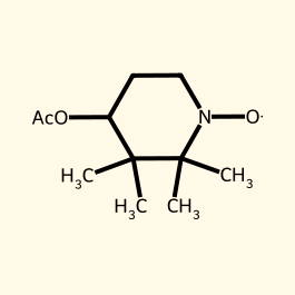 CC(=O)OC1CCN([O])C(C)(C)C1(C)C